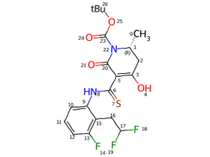 C[C@@H]1CC(O)=C(C(=S)Nc2cccc(F)c2CC(F)F)C(=O)N1C(=O)OC(C)(C)C